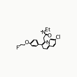 CCN(C)C(=O)CC1=C(c2ccc(OCCF)cc2)CC=C2C=CC(Cl)=CN21